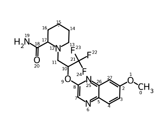 COc1ccc2ncc(OC(CN3CC[CH]CC3C(N)=O)C(F)(F)F)nc2c1